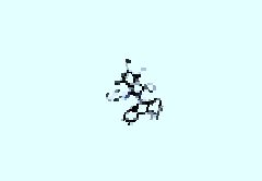 N#C/C=C1/C(=C2\c3ccccc3-c3ncccc32)C(=O)c2c(F)c(F)cc(F)c21